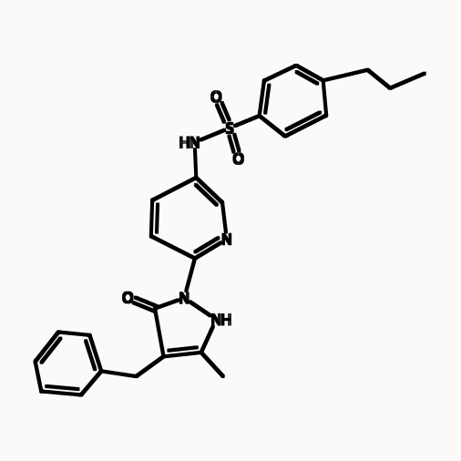 CCCc1ccc(S(=O)(=O)Nc2ccc(-n3[nH]c(C)c(Cc4ccccc4)c3=O)nc2)cc1